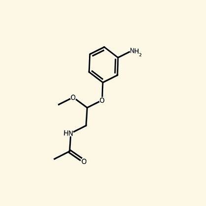 COC(CNC(C)=O)Oc1cccc(N)c1